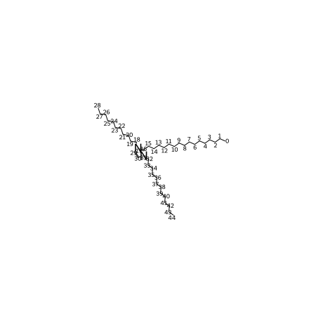 CCCCCCCCCCCCCCCCC1N(CCCCCCCCCCC)C=CN1CCCCCCCCCCCCC